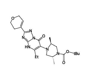 CCc1[nH]c2nc(C3=CCOCC3)nn2c(=O)c1N1C[C@@H](C)N(C(=O)OC(C)(C)C)C[C@@H]1C